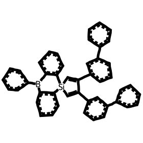 C1=C(c2cccc(-c3ccccc3)c2)C(c2cccc(-c3ccccc3)c2)=C[Si]12c1ccccc1B(c1ccccc1)c1ccccc12